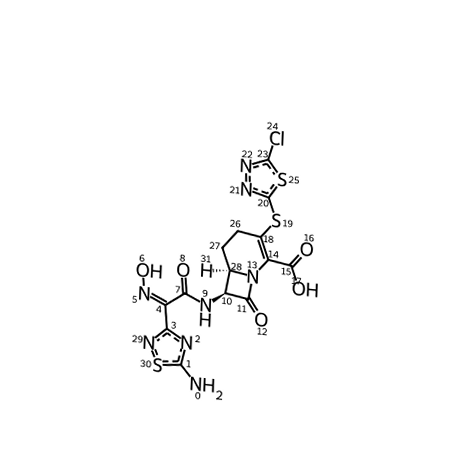 Nc1nc(/C(=N/O)C(=O)N[C@@H]2C(=O)N3C(C(=O)O)=C(Sc4nnc(Cl)s4)CC[C@H]23)ns1